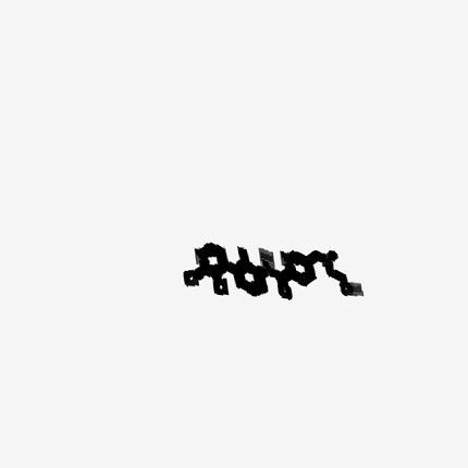 Cc1c(NC(=O)c2ccc(CN(C)CCO)cn2)cccc1-c1ccnc(Cl)c1Cl